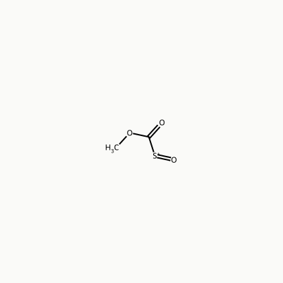 COC(=O)[S+]=O